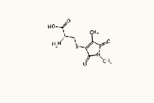 CC1=C(SC[C@H](N)C(=O)O)C(=O)N(C)C1=O